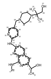 CC(C)Nc1nc(C(C)O)cc2cnc(Nc3ccc(CN4CCN(C(C)(C)CO)CC4)cn3)nc12